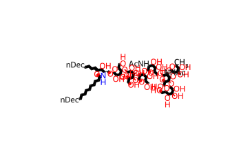 CCCCCCCCCCCCC/C=C/[C@@H](O)[C@H](CO[C@@H]1OC(CO)[C@@H](O[C@@H]2OC(CO)[C@H](O[C@@H]3OC(CO)[C@H](O)[C@H](O[C@@H]4OC(CO[C@@H]5OC(CO)[C@@H](O[C@@H]6OC(CO)[C@H](O)[C@H](O)C6O)[C@H](O[C@H]6C(O)[C@H](O)C(C)O[C@H]6O)C5NC(C)=O)[C@H](O)[C@H](O)C4NC(C)=O)C3O)[C@H](O)C2O)[C@H](O)C1O)NC(=O)CCCCCCCCCCCCCCCCCCC